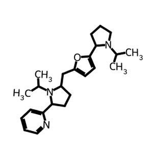 CC(C)N1CCCC1c1ccc(CC2CCC(c3ccccn3)N2C(C)C)o1